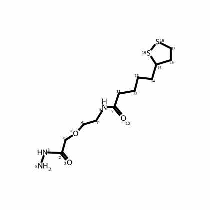 NNC(=O)COCCNC(=O)CCCCC1CCSS1